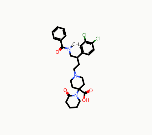 CN(CC(CCN1CCC(C(=O)O)(N2CCCCC2=O)CC1)c1ccc(Cl)c(Cl)c1)C(=O)c1ccccc1